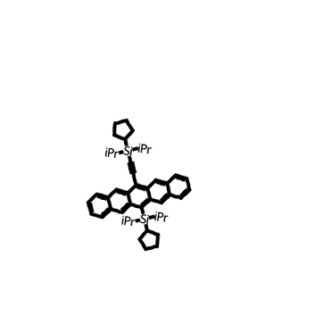 CC(C)[Si](C#Cc1c2cc3ccccc3cc2c([Si](C(C)C)(C(C)C)C2CCCC2)c2cc3ccccc3cc12)(C(C)C)C1CCCC1